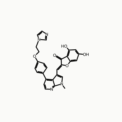 Cn1cc(/C=C2\Oc3cc(O)cc(O)c3C2=O)c2c(-c3ccc(OCCn4ccnc4)cc3)ccnc21